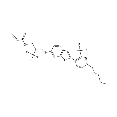 C=CC(=O)OCC(CSc1ccc2cc(-c3ccc(CCCCC)cc3C(F)(F)F)oc2c1)C(F)(F)F